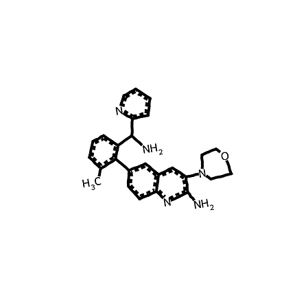 Cc1cccc(C(N)c2ccccn2)c1-c1ccc2nc(N)c(N3CCOCC3)cc2c1